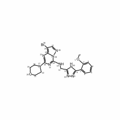 COc1ccccc1-c1nnc(CNc2nc(N3CCOCC3)nc3c(Br)cnn23)[nH]1